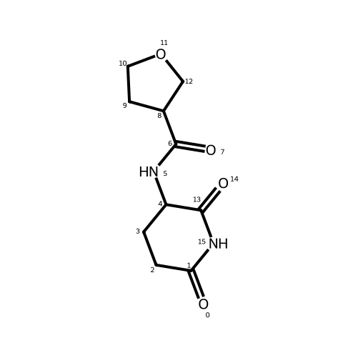 O=C1CCC(NC(=O)C2CCOC2)C(=O)N1